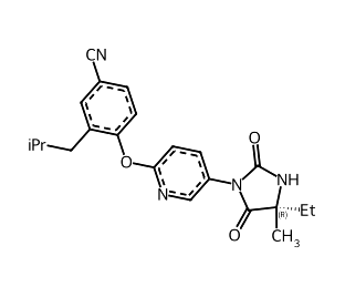 CC[C@@]1(C)NC(=O)N(c2ccc(Oc3ccc(C#N)cc3CC(C)C)nc2)C1=O